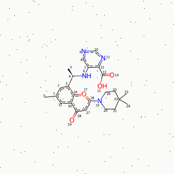 Cc1cc([C@@H](C)Nc2cncnc2C(=O)O)c2oc(N3CCC(C)(C)CC3)cc(=O)c2c1